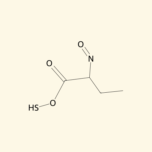 CCC(N=O)C(=O)OS